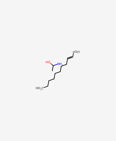 CC(N)O.CCCCCCCCC=CCCCCCCCC(=O)O